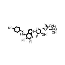 C[C@H](Nc1c(C#N)c(Cl)nc2c1ccn2[C@@H]1O[C@H](COP(=O)(O)CP(=O)(O)O)[C@@H](O)[C@@H]1F)c1ccc(C#N)cc1